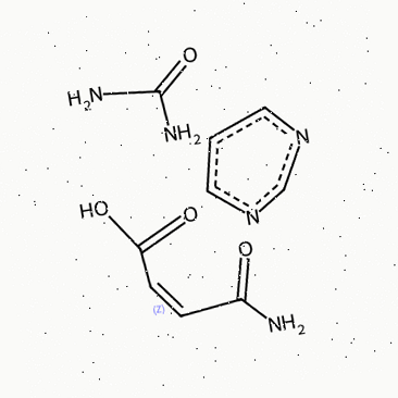 NC(=O)/C=C\C(=O)O.NC(N)=O.c1cncnc1